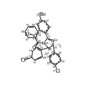 CCOc1cc(C(C)(C)C)ncc1C1=N[C@@](C)(c2ccc(Cl)cc2)[C@@](C)(C2=CCC(Cl)C=C2)N1C(=O)N1CC=CCC1